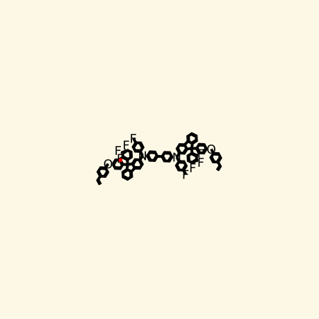 C=Cc1ccc(Oc2ccc(C3(c4ccc(F)c(F)c4F)c4ccccc4-c4ccc(N(c5ccc(F)cc5)c5ccc(-c6ccc(N(c7ccc(F)cc7)c7ccc8c(c7)C(c7ccc(Oc9ccc(C=C)cc9)cc7)(c7ccc(F)c(F)c7F)c7ccccc7-8)cc6)cc5)cc43)cc2)cc1